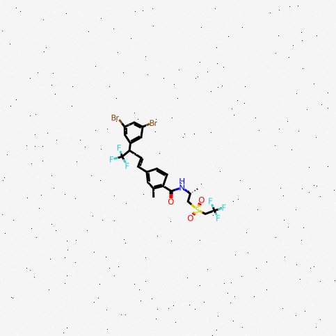 Cc1cc(/C=C/C(c2cc(Br)cc(Br)c2)C(F)(F)F)ccc1C(=O)N[C@H](C)CS(=O)(=O)CC(F)(F)F